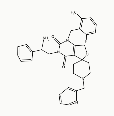 NC(Cn1c(=O)c2c(n(Cc3c(F)cccc3C(F)(F)F)c1=O)COC21CCN(Cc2ccccn2)CC1)c1ccccc1